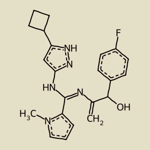 C=C(/N=C(/Nc1cc(C2CCC2)[nH]n1)c1cccn1C)C(O)c1ccc(F)cc1